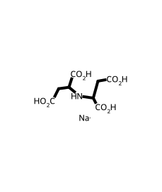 O=C(O)CC(NC(CC(=O)O)C(=O)O)C(=O)O.[Na]